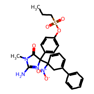 CCCS(=O)(=O)Oc1ccc(C2(C3([N+](=O)[O-])C=CC=C(c4ccccc4)C3)N=C(N)N(C)C2=O)cc1